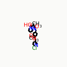 COc1cc(Cn2c(=O)c(C)c(O)[n+]3ccccc23)ccc1OCc1ccc(Cl)nc1